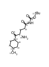 CN1CCN(C(=O)[C@@H](N)CCC(=O)NC(=O)OC(C)(C)C)CC1